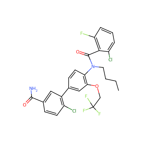 CCCCN(C(=O)c1c(F)cccc1Cl)c1ccc(-c2cc(C(N)=O)ccc2Cl)cc1OCC(F)(F)F